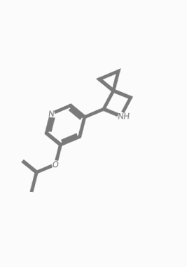 CC(C)Oc1cncc(C2NCC23CC3)c1